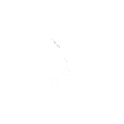 [N-]=[N+]=NCC1CCN(Cc2ccc(Oc3ccccc3)c(Cl)c2)CC1